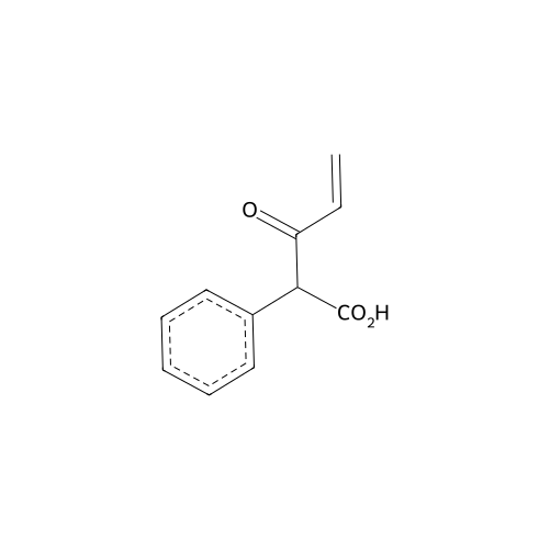 C=CC(=O)C(C(=O)O)c1ccccc1